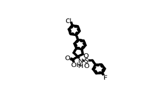 O=C(O)C1(NS(=O)(=O)Cc2ccc(F)cc2)Cc2ccc(-c3ccc(Cl)cc3)cc2C1